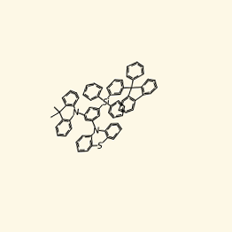 CC1(C)c2ccccc2N(c2cc(N3c4ccccc4Sc4ccccc43)cc([Si](c3ccccc3)(c3ccccc3)c3cccc(C4(c5ccccc5)c5ccccc5-c5ccccc54)c3)c2)c2ccccc21